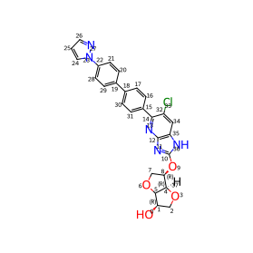 O[C@@H]1CO[C@H]2C1OC[C@H]2Oc1nc2nc(-c3ccc(-c4ccc(-n5cccn5)cc4)cc3)c(Cl)cc2[nH]1